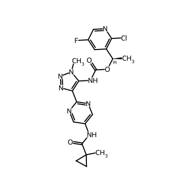 C[C@@H](OC(=O)Nc1c(-c2ncc(NC(=O)C3(C)CC3)cn2)nnn1C)c1cc(F)cnc1Cl